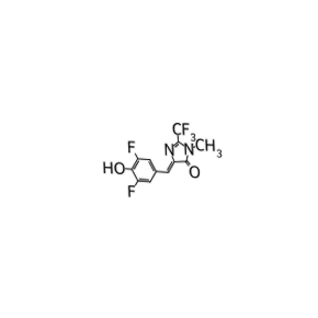 CN1C(=O)/C(=C/c2cc(F)c(O)c(F)c2)N=C1C(F)(F)F